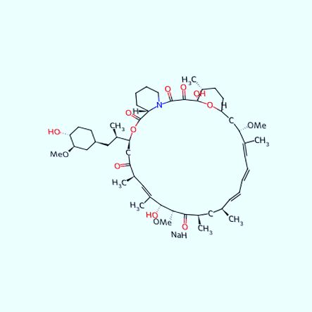 CO[C@H]1C[C@@H]2CC[C@@H](C)[C@@](O)(O2)C(=O)C(=O)N2CCCC[C@H]2C(=O)O[C@H]([C@H](C)C[C@@H]2CC[C@@H](O)[C@H](OC)C2)CC(=O)[C@H](C)/C=C(\C)[C@@H](O)[C@@H](OC)C(=O)[C@H](C)C[C@H](C)/C=C/C=C/C=C/1C.[NaH]